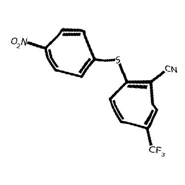 N#Cc1cc(C(F)(F)F)ccc1Sc1ccc([N+](=O)[O-])cc1